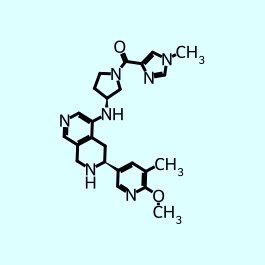 COc1ncc([C@@H]2Cc3c(cncc3N[C@H]3CCN(C(=O)c4cn(C)cn4)C3)CN2)cc1C